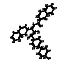 C=C(/C=C(/C1C=Cc2ccccc2C1)N(C)C(C)c1ccc(-c2ccc(C)cc2)cc1)c1ccc2ccccc2c1